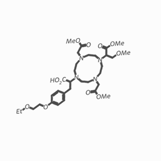 CCOCCOc1ccc(CC(C(=O)O)N2CCN(CC(=O)OC)CCN(C(COC)C(=O)OC)CCN(CC(=O)OC)CC2)cc1